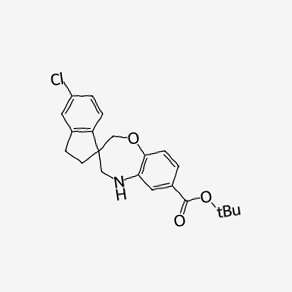 CC(C)(C)OC(=O)c1ccc2c(c1)NCC1(CCc3cc(Cl)ccc31)CO2